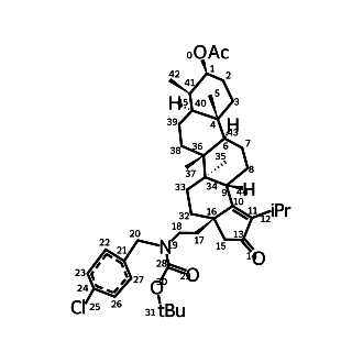 CC(=O)O[C@H]1CC[C@]2(C)[C@H]3CC[C@@H]4C5=C(C(C)C)C(=O)C[C@]5(CCN(Cc5ccc(Cl)cc5)C(=O)OC(C)(C)C)CC[C@@]4(C)[C@]3(C)CC[C@H]2[C@H]1C